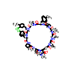 CC[C@H](C)[C@@H]1NC(=O)[C@H](CC(C)C)N(C)C(=O)C[C@@H](C(=O)N(C)C)N(C)C(=O)[C@H]([C@@H](C)CC)N(C)C(=O)C2(CCCC2)NC(=O)[C@H](Cc2ccc(Cl)cc2)N(C)C(=O)[C@H](CCc2ccc(C(F)(F)F)c(Cl)c2)NC(=O)CN(C)C(=O)[C@H](Cc2ccc(C)cc2)N(C)C(=O)[C@@H]2CCN2C(=O)[C@H](C)N(C)C1=O